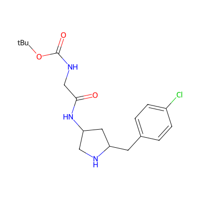 CC(C)(C)OC(=O)NCC(=O)NC1CNC(Cc2ccc(Cl)cc2)C1